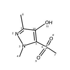 Cc1nn(C)c(S(C)(=O)=O)c1O